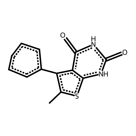 Cc1sc2[nH]c(=O)[nH]c(=O)c2c1-c1ccccc1